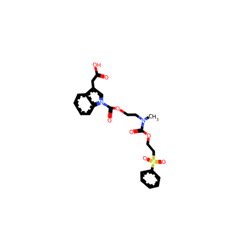 CN(CCOC(=O)n1cc(CC(=O)O)c2ccccc21)C(=O)OCCS(=O)(=O)c1ccccc1